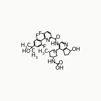 C[C@@H]1C[C@H](NC(=O)O)CN(c2c(NC(=O)c3ccc(F)c(-c4c(F)cc(C(C)(C)O)cc4F)n3)cnc3c2CCC3O)C1